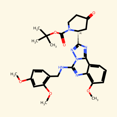 COc1ccc(CNc2nc3c(OC)cccc3c3nc([C@H]4CC(=O)CCN4C(=O)OC(C)(C)C)nn23)c(OC)c1